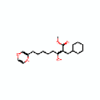 COC(=O)C(CC1CCCCC1)=C(O)CCCCCC1=COC=CO1